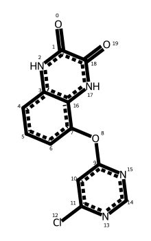 O=c1[nH]c2cccc(Oc3cc(Cl)ncn3)c2[nH]c1=O